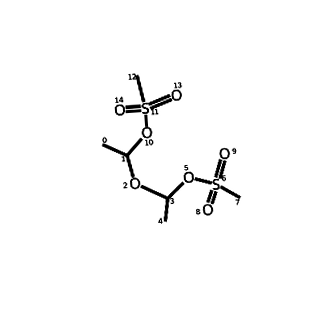 CC(OC(C)OS(C)(=O)=O)OS(C)(=O)=O